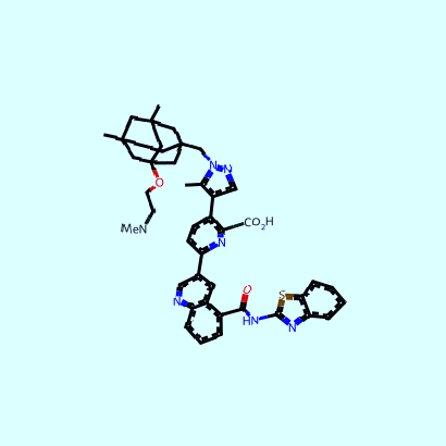 CNCCOC12CC3(C)CC(C)(CC(Cn4ncc(-c5ccc(-c6cnc7cccc(C(=O)Nc8nc9ccccc9s8)c7c6)nc5C(=O)O)c4C)(C3)C1)C2